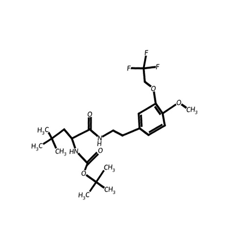 COc1ccc(CCNC(=O)C(CC(C)(C)C)NC(=O)OC(C)(C)C)cc1OCC(F)(F)F